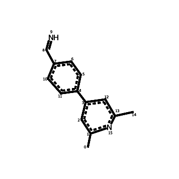 Cc1cc(-c2ccc(C=N)cc2)cc(C)n1